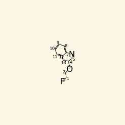 FCCOc1cnc2ccccc2c1